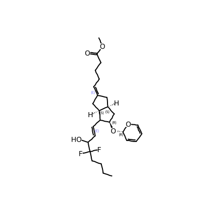 CCCCC(F)(F)C(O)/C=C/C1[C@H]2C/C(=C/CCCC(=O)OC)C[C@H]2C[C@H]1O[C@H]1C=CC=CO1